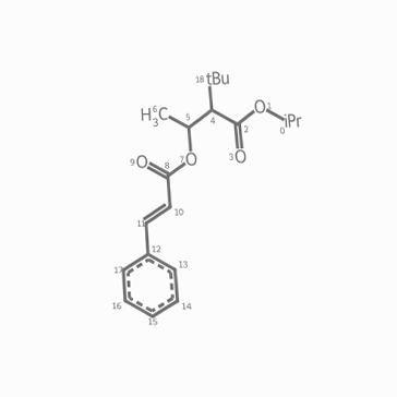 CC(C)OC(=O)C(C(C)OC(=O)/C=C/c1ccccc1)C(C)(C)C